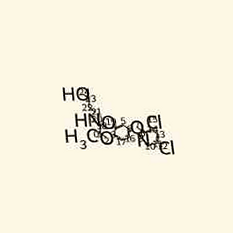 CC(Oc1ccc(Oc2ncc(Cl)cc2Cl)cc1)C(=O)NCCCO